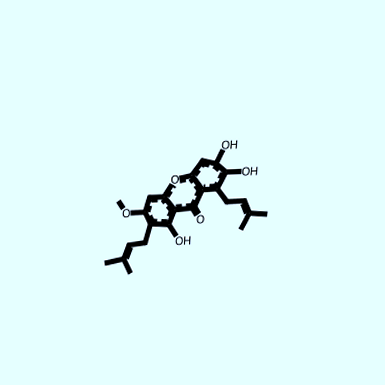 COc1cc2oc3cc(O)c(O)c(CC=C(C)C)c3c(=O)c2c(O)c1CC=C(C)C